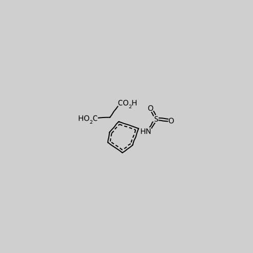 N=S(=O)=O.O=C(O)CC(=O)O.c1ccccc1